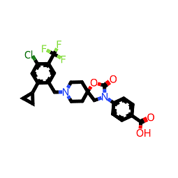 O=C(O)c1ccc(N2CC3(CCN(Cc4cc(C(F)(F)F)c(Cl)cc4C4CC4)CC3)OC2=O)cc1